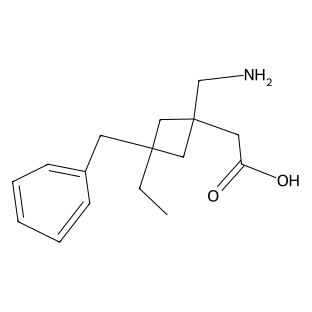 CCC1(Cc2ccccc2)CC(CN)(CC(=O)O)C1